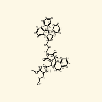 COC(=O)C(CCSC)NC(=O)CN1C(=O)N(CCCc2cn(C(c3ccccc3)(c3ccccc3)c3ccccc3)cn2)C(=O)C1(C)c1cccc2ccccc12